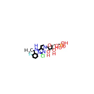 CC(Nc1nc(Cl)nc2c1ccn2[C@@H]1O[C@H](COCP(=O)(O)O)[C@@H](O)[C@H]1O)c1ccccc1F